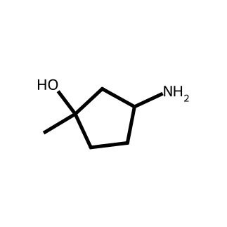 CC1(O)CCC(N)C1